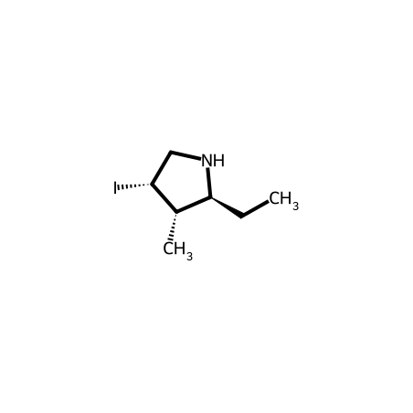 CC[C@@H]1NC[C@@H](I)[C@H]1C